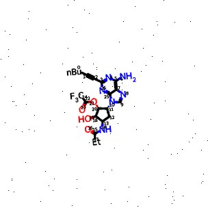 CCCCC#Cc1nc(N)c2ncn([C@@H]3CC(NC(=O)CC)C(O)[C@H]3OC(=O)C(F)(F)F)c2n1